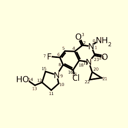 Nn1c(=O)c2cc(F)c(N3CCC(CO)C3)c(Cl)c2n(C2CC2)c1=O